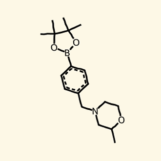 CC1CN(Cc2ccc(B3OC(C)(C)C(C)(C)O3)cc2)CCO1